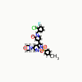 Cc1ccc(S(=O)(=O)n2cc(-c3ccn(Cc4cccc(F)c4Cl)c(=O)c3)c3cc(N4CCOCC4)cnc32)cc1